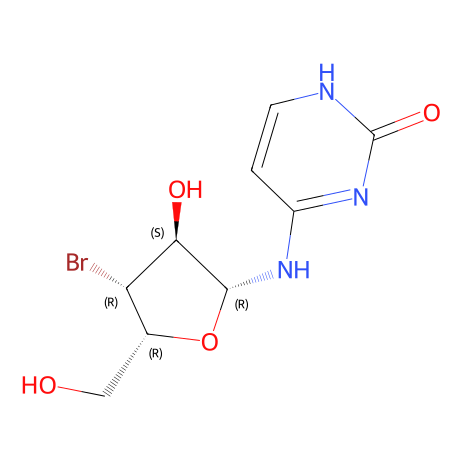 O=c1nc(N[C@@H]2O[C@H](CO)[C@H](Br)[C@H]2O)cc[nH]1